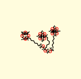 C[SiH]1O[SiH](C)O[Si](C)(CCCCCC[Si](C)(C)O[Si](C)(C)O[Si](C)(CCCCCC[Si]2(C)O[SiH](C)O[SiH](C)O[SiH](C)O2)O[Si](C)(C)CCCCCC[Si]2(C)O[SiH](C)O[SiH](C)O[SiH](C)O2)O[SiH](C)O1